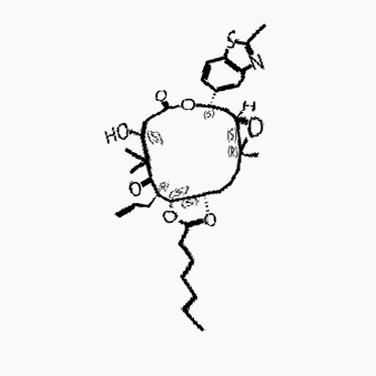 C=CC[C@H]1C(=O)C(C)(C)[C@@H](O)CC(=O)O[C@H](c2ccc3sc(C)nc3c2)C[C@@H]2O[C@]2(C)CCC[C@H](C)[C@@H]1OC(=O)CCCCCC